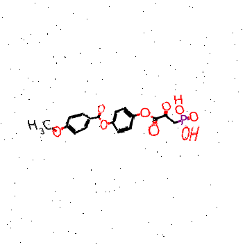 COc1ccc(C(=O)Oc2ccc(OC(=O)C(=O)CP(=O)(O)O)cc2)cc1